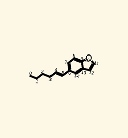 CCCC/C=C/c1ccc2occc2c1